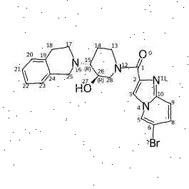 O=C(c1cn2cc(Br)ccc2n1)N1CC[C@@H](N2CCc3ccccc3C2)[C@H](O)C1